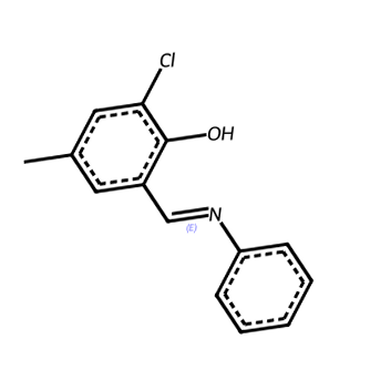 Cc1cc(Cl)c(O)c(/C=N/c2ccccc2)c1